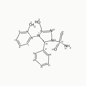 Cc1ccccc1N1C(O)=NN(S(N)(=O)=O)C1c1ccccc1